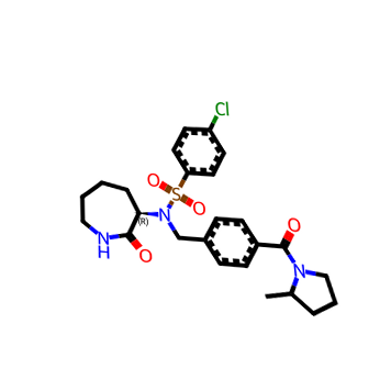 CC1CCCN1C(=O)c1ccc(CN([C@@H]2CCCCNC2=O)S(=O)(=O)c2ccc(Cl)cc2)cc1